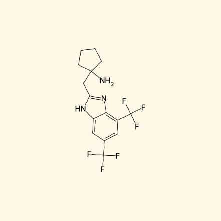 NC1(Cc2nc3c(C(F)(F)F)cc(C(F)(F)F)cc3[nH]2)CCCC1